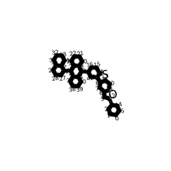 c1ccc(-c2cc3cc4c(cc3o2)sc2ccc(-c3c5ccccc5c(-c5cccc6ccccc56)c5ccccc35)cc24)cc1